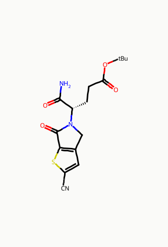 CC(C)(C)OC(=O)CC[C@@H](C(N)=O)N1Cc2cc(C#N)sc2C1=O